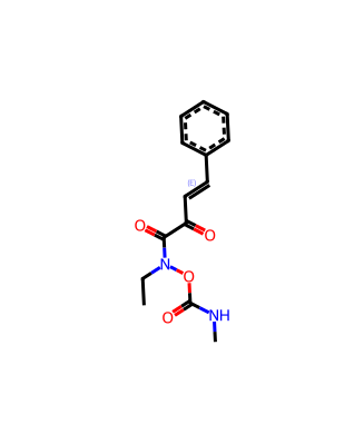 CCN(OC(=O)NC)C(=O)C(=O)/C=C/c1ccccc1